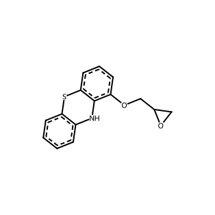 c1ccc2c(c1)Nc1c(OCC3CO3)cccc1S2